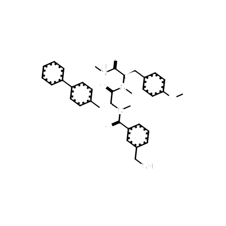 CNC(=O)[C@@H](Cc1ccc(OC)cc1)N(C)C(=O)[C@@H](Cc1ccc(-c2ccccc2)cc1)N(C)C(=O)c1cccc(CN)c1